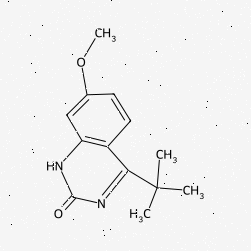 COc1ccc2c(C(C)(C)C)nc(=O)[nH]c2c1